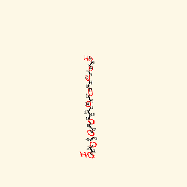 OCCOCCOCCOCCCCOCCOCCOCCOCCO